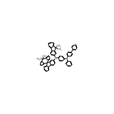 CC1(C)c2ccccc2-c2ccc(N(c3ccc(N(c4ccccc4)c4ccc(-c5ccccc5)cc4)cc3)c3ccc4c(c3)C3(c5ccccc5-4)c4ccccc4C(C)(C)c4ccccc43)cc21